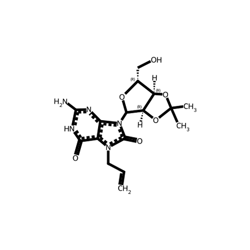 C=CCn1c(=O)n(C2O[C@H](CO)[C@H]3OC(C)(C)O[C@@H]23)c2nc(N)[nH]c(=O)c21